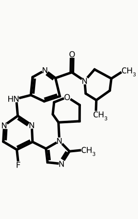 Cc1ncc(-c2nc(Nc3ccc(C(=O)N4CC(C)CC(C)C4)nc3)ncc2F)n1C1CCOCC1